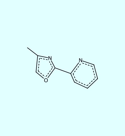 Cc1coc(-c2ccccn2)n1